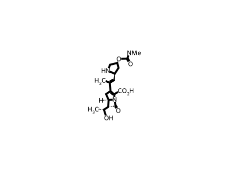 CNC(=O)O[C@H]1CN[C@H](/C=C(\C)C2=C(C(=O)O)N3C(=O)[C@H]([C@@H](C)O)[C@H]3C2)C1